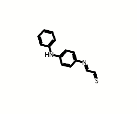 S=CC=Nc1ccc(Nc2ccccc2)cc1